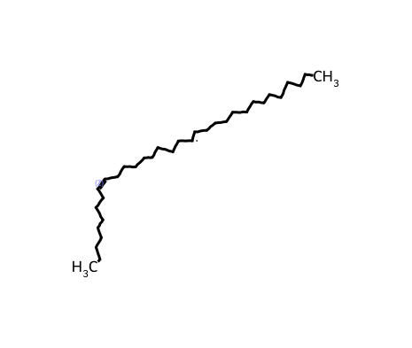 CCCCCCCC/C=C\CCCCCCCC[CH]CCCCCCCCCCCCCC